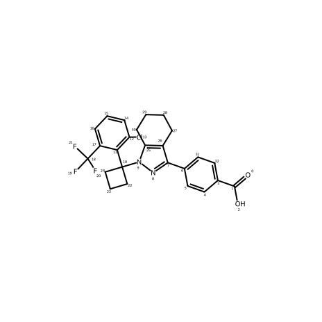 O=C(O)c1ccc(-c2nn(C3(c4c(Cl)cccc4C(F)(F)F)CCC3)c3c2CCCC3)cc1